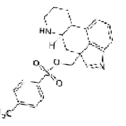 Cc1ccc(S(=O)(=O)OCC23C=Nc4cccc(c42)C2CCCN[C@@H]2C3)cc1